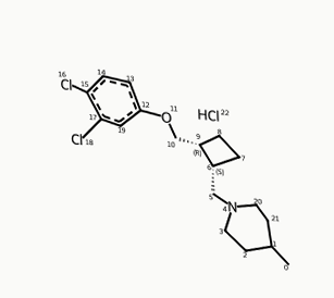 CC1CCN(C[C@H]2CC[C@H]2COc2ccc(Cl)c(Cl)c2)CC1.Cl